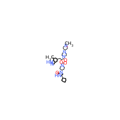 Cc1cc(CC(OC(=O)N2CCC(n3cc(-c4ccccc4)[nH]c3=O)CC2)C(=O)N2CCN(C3CCN(C)CC3)CC2)cc2cn[nH]c12